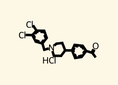 CC(=O)c1ccc(C2CCN(Cc3ccc(Cl)c(Cl)c3)CC2)cc1.Cl